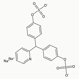 O=S(=O)([O-])Oc1ccc(C(c2ccc(OS(=O)(=O)[O-])cc2)c2ccccn2)cc1.[Na+].[Na+]